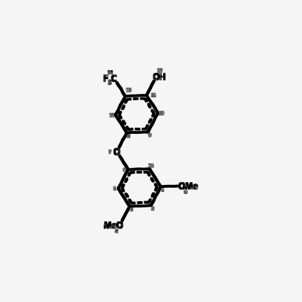 COc1cc(OC)cc(Oc2ccc(O)c(C(F)(F)F)c2)c1